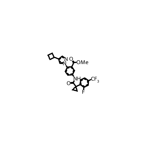 COC(=O)c1cc(NC(=O)C2(c3ccc(C(F)(F)F)cc3F)CC2)ccc1-n1cc(C2CCC2)cn1